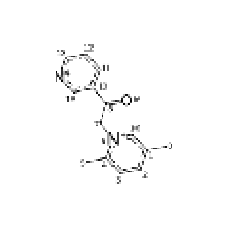 Cc1ccc(C)[n+](CC(=O)c2cccnc2)c1